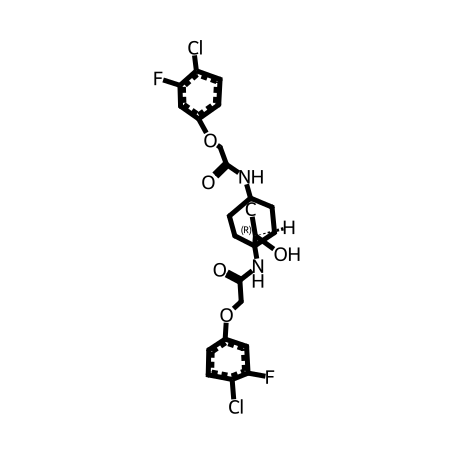 O=C(COc1ccc(Cl)c(F)c1)NC12CCC(NC(=O)COc3ccc(Cl)c(F)c3)(CC1)[C@H](O)C2